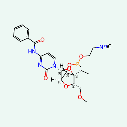 [C-]#[N+]CCOP(C)O[C@H]1[C@H]2O[C@@H](COC)[C@]1(CC)O[C@H]2n1ccc(NC(=O)c2ccccc2)nc1=O